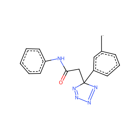 [CH2]c1cccc(C2(CC(=O)Nc3ccccc3)N=NN=N2)c1